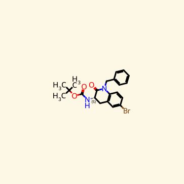 CC(C)(C)OC(=O)N[C@H]1Cc2cc(Br)ccc2N(Cc2ccccc2)C1=O